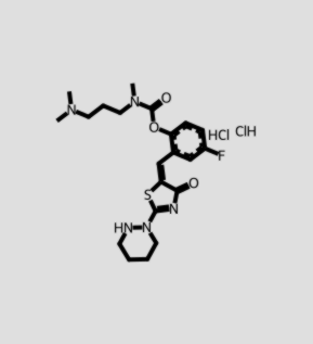 CN(C)CCCN(C)C(=O)Oc1ccc(F)cc1C=C1SC(N2CCCCN2)=NC1=O.Cl.Cl